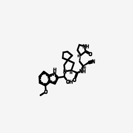 COc1cccc2[nH]c(C(O)N3CC4(CCCC4)C[C@H]3C(=O)N[C@H](C#N)C[C@@H]3CCNC3=O)cc12